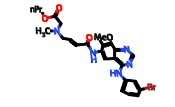 CCCOC(=O)CN(C)CC=CC(=O)Nc1cc2c(Nc3cccc(Br)c3)ncnc2cc1OC